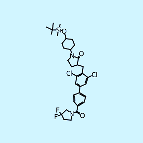 CC(C)(C)[Si](C)(C)OC1CCC(N2CCC(Cc3c(Cl)cc(-c4ccc(C(=O)N5CCC(F)(F)C5)cc4)cc3Cl)C2=O)CC1